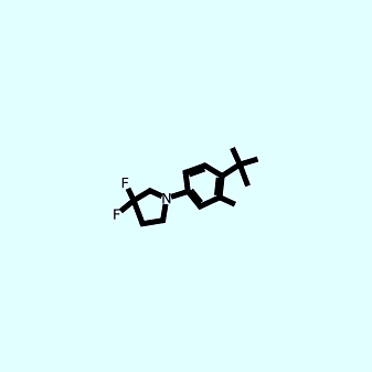 Cc1cc(N2CCC(F)(F)C2)ccc1C(C)(C)C